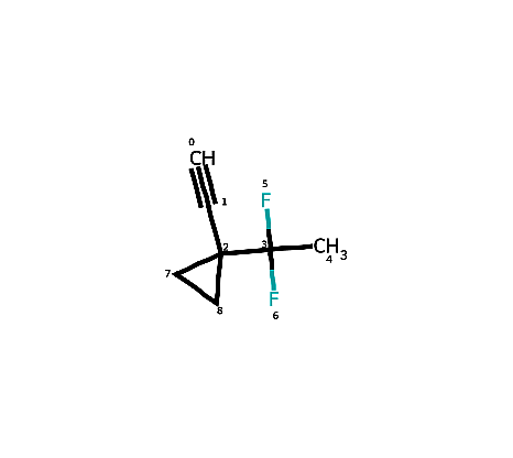 C#CC1(C(C)(F)F)CC1